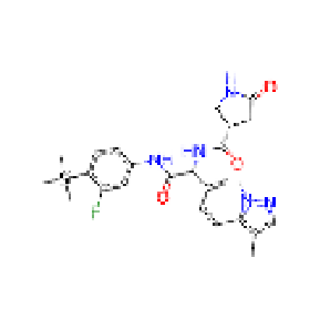 C=C(/C=C\c1c(C)cnn1C)[C@@H](NC(=O)[C@@H]1CNC(=O)C1)C(=O)Nc1ccc([Si](C)(C)C)c(F)c1